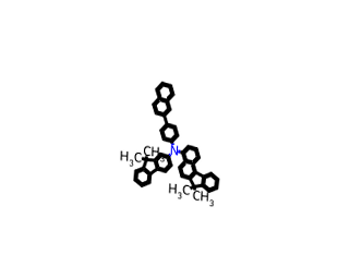 CC1(C)c2ccccc2-c2ccc(N(c3ccc(-c4ccc5ccccc5c4)cc3)c3cccc4c5c(ccc34)C(C)(C)c3ccccc3-5)cc21